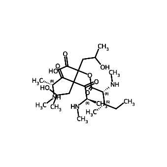 CC[C@H](C)[C@@H](NC)C(=O)OC(CC(C)O)(C(=O)O)C(CC(C)O)(C(=O)[C@@H](C)NC)C(=O)[C@@H](C)NC